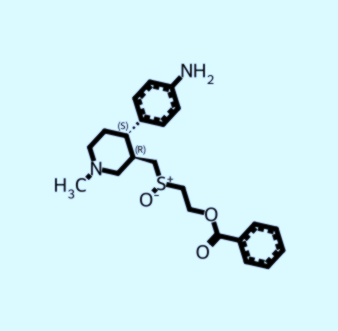 CN1CC[C@H](c2ccc(N)cc2)[C@@H](C[S+]([O-])CCOC(=O)c2ccccc2)C1